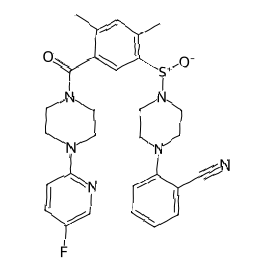 Cc1cc(C)c([S+]([O-])N2CCN(c3ccccc3C#N)CC2)cc1C(=O)N1CCN(c2ccc(F)cn2)CC1